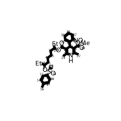 CCC(CCCCC(CC)OS(=O)(=O)c1ccc(C)cc1)OC(=O)C1=C(C)NC(C)=C(C(=O)OC)C1c1ccccc1[N+](=O)[O-]